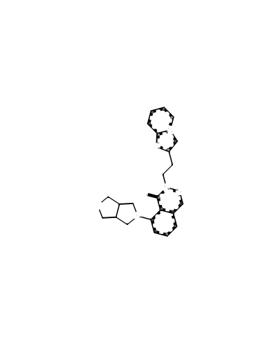 O=c1c2c(N3CC4COCC4C3)cccc2cnn1CCc1cn2ccccc2n1